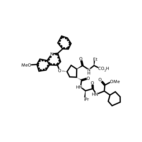 CC[C@H](NC(=O)[C@@H]1C[C@@H](Oc2cc(-c3ccccc3)nc3cc(OC)ccc23)C[C@H]1C(=O)N[C@@H](C(=O)NC(C(=O)OC)C1CCCCC1)C(C)C)C(=O)O